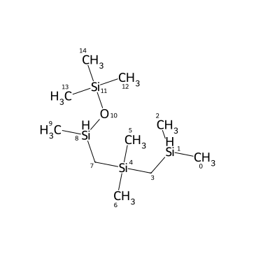 C[SiH](C)C[Si](C)(C)C[SiH](C)O[Si](C)(C)C